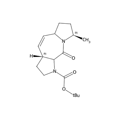 C[C@@H]1CCC2C=C[C@H]3CCN(C(=O)OC(C)(C)C)C3C(=O)N21